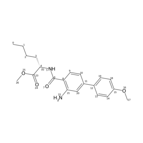 CCCC[C@H](NC(=O)c1ccc(-c2ccc(OC)cc2)cc1N)C(=O)OC